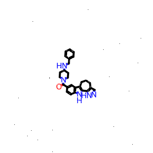 O=C(c1ccc2[nH]c3c(c2c1)CCCc1cn[nH]c1-3)N1CCC(NCc2ccccc2)CC1